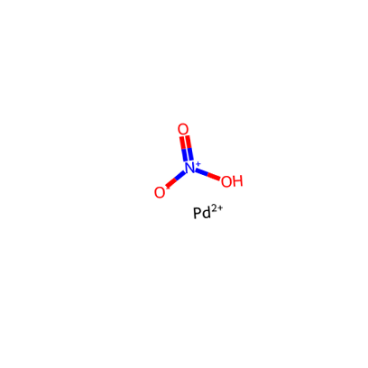 O=[N+]([O-])O.[Pd+2]